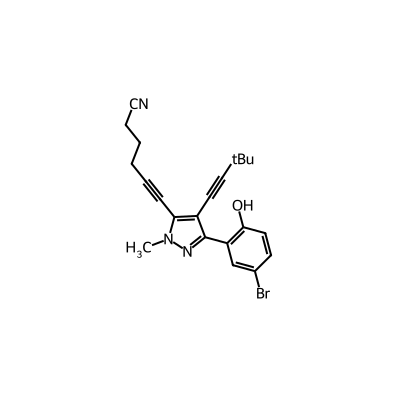 Cn1nc(-c2cc(Br)ccc2O)c(C#CC(C)(C)C)c1C#CCCCC#N